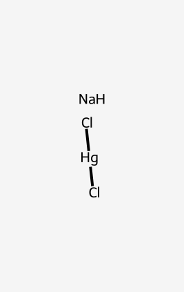 [Cl][Hg][Cl].[NaH]